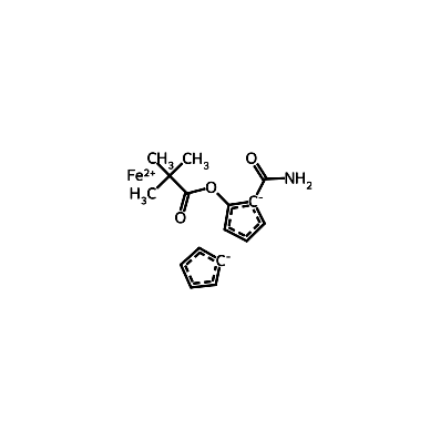 CC(C)(C)C(=O)Oc1ccc[c-]1C(N)=O.[Fe+2].c1cc[cH-]c1